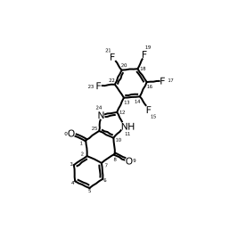 O=C1c2ccccc2C(=O)c2[nH]c(-c3c(F)c(F)c(F)c(F)c3F)nc21